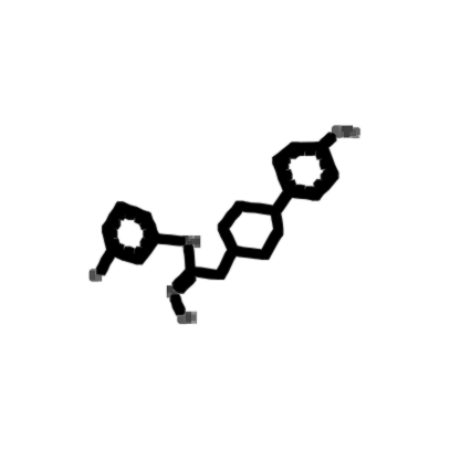 COc1ccc(C2CCC(C/C(=N\O)Nc3cccc(Cl)c3)CC2)cc1